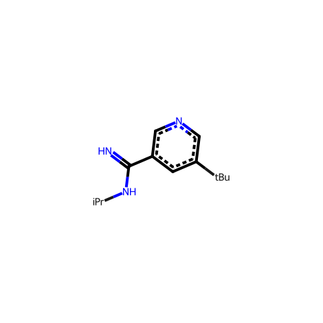 CC(C)NC(=N)c1cncc(C(C)(C)C)c1